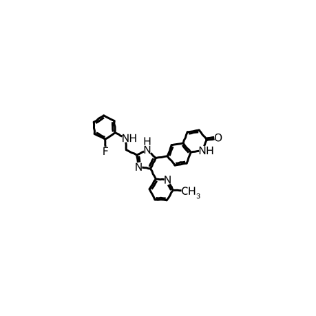 Cc1cccc(-c2nc(CNc3ccccc3F)[nH]c2-c2ccc3[nH]c(=O)ccc3c2)n1